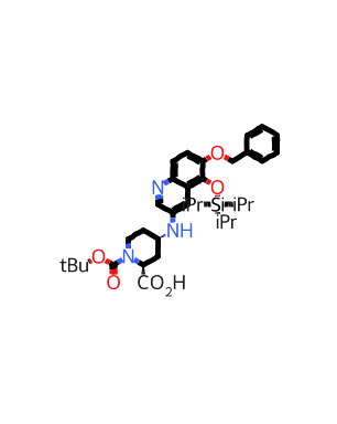 CC(C)[Si](Oc1c(OCc2ccccc2)ccc2ncc(N[C@H]3CCN(C(=O)OC(C)(C)C)[C@H](C(=O)O)C3)cc12)(C(C)C)C(C)C